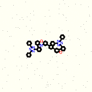 c1ccc(-c2nc(-c3ccccc3)nc(-c3cccc4oc5ccc(-c6ccc(-c7ccc8c(c7)-n7c9cccc(-c%10nc(-c%11ccccc%11)nc(-c%11ccccc%11)n%10)c9c9cccc(c97)O8)cc6)cc5c34)n2)cc1